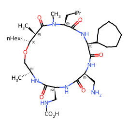 CCCCCC[C@H]1OC[C@@H](C)NC(=O)[C@H](CNC(=O)O)NC(=O)[C@H](CN)NC(=O)[C@H](C2CCCCCC2)NC(=O)[C@H](CC(C)C)N(C)C(=O)[C@@H]1C